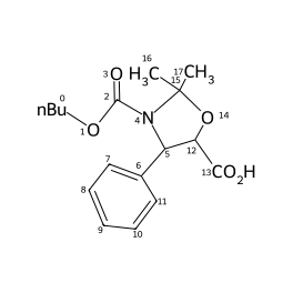 CCCCOC(=O)N1C(c2ccccc2)C(C(=O)O)OC1(C)C